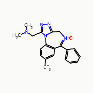 CN(C)Cc1nnc2n1-c1ccc(C(F)(F)F)cc1C(c1ccccc1)=[N+]([O-])C2